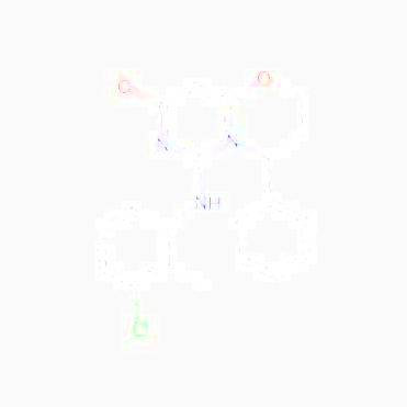 Cc1c(Cl)cccc1Nc1nc(=O)cc2n1C(c1ccccc1)CCO2